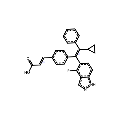 O=C(O)/C=C/c1ccc(/C(=C(\c2ccccc2)C2CC2)c2ccc3[nH]ncc3c2F)cc1